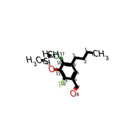 CCCCc1cc(C=O)c(F)c(O[SiH](C)C)c1Cl